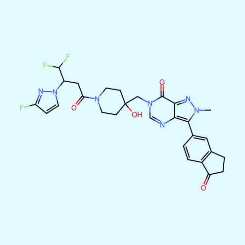 Cn1nc2c(=O)n(CC3(O)CCN(C(=O)CC(C(F)F)n4ccc(F)n4)CC3)cnc2c1-c1ccc2c(c1)CCC2=O